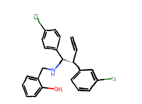 C=C[C@H](c1cccc(Cl)c1)C(NCc1ccccc1O)c1ccc(Cl)cc1